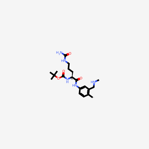 [CH2]c1ccc(NC(=O)[C@H](CCCNC(N)=O)NC(=O)OC(C)(C)C)cc1CNC